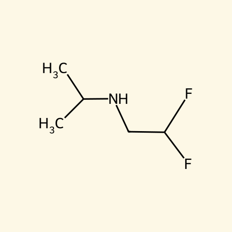 CC(C)NCC(F)F